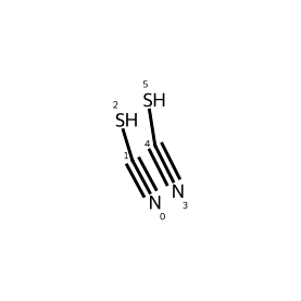 N#CS.N#CS